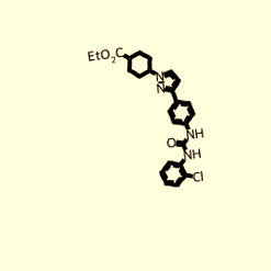 CCOC(=O)C1CCC(n2ccc(-c3ccc(NC(=O)Nc4ccccc4Cl)cc3)n2)CC1